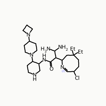 CCC1(CC)CCC(Cl)/C=N\C(C(C(=O)NC2CNCCC2N2CCC(N3CCC3)CC2)C(N)N)C1